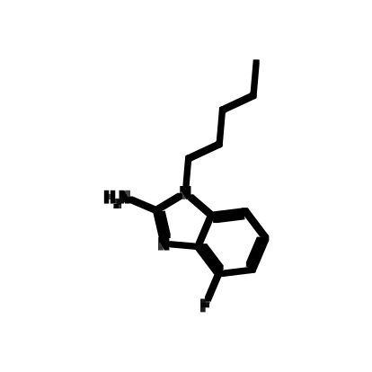 CCCCCn1c(N)nc2c(F)cccc21